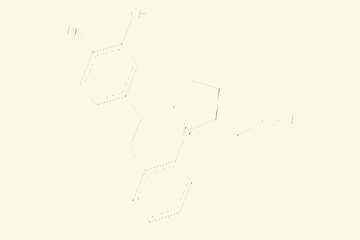 Cc1cc(COc2ccccc2N2CCCC2CC(=O)O)ccc1Br